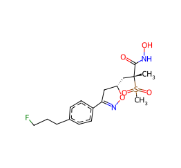 C[C@@](C[C@H]1CC(c2ccc(CCCF)cc2)=NO1)(C(=O)NO)S(C)(=O)=O